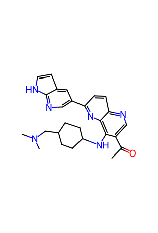 CC(=O)c1cnc2ccc(-c3cnc4[nH]ccc4c3)nc2c1NC1CCC(CN(C)C)CC1